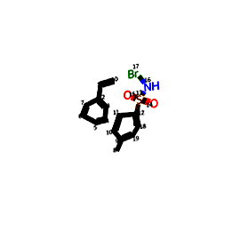 C=Cc1ccccc1.Cc1ccc(S(=O)(=O)NBr)cc1